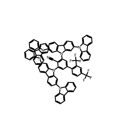 N#Cc1c(-n2c3cc(-n4c5ccccc5c5ccccc54)ccc3c3ccc(-n4c5ccccc5c5ccccc54)cc32)cc(-c2ccc(C(F)(F)F)cc2C(F)(F)F)cc1-n1c2cc(-n3c4ccccc4c4ccccc43)ccc2c2ccc(-n3c4ccccc4c4ccccc43)cc21